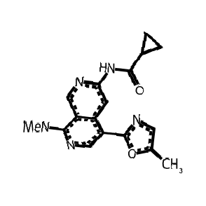 CNc1ncc(-c2ncc(C)o2)c2cc(NC(=O)C3CC3)ncc12